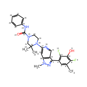 Cn1nc(-c2cc(C(F)(F)F)c(F)c(O)c2F)c2cnc(N3CCN(C(=O)Nc4ccccc4)CC3(C)C)cc21